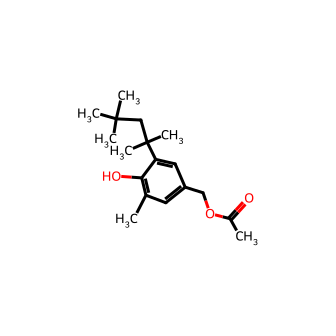 CC(=O)OCc1cc(C)c(O)c(C(C)(C)CC(C)(C)C)c1